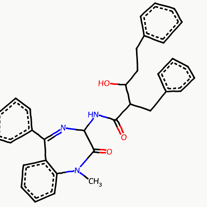 CN1C(=O)C(NC(=O)C(Cc2ccccc2)C(O)CCc2ccccc2)N=C(c2ccccc2)c2ccccc21